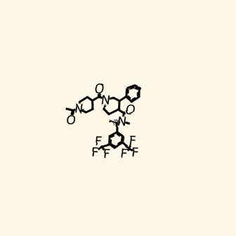 CC(=O)N1CCC(C(=O)N2CCC(C(=O)N(C)[C@H](C)c3cc(C(F)(F)F)cc(C(F)(F)F)c3)C(c3ccccc3)C2)CC1